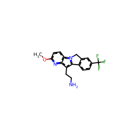 COc1ccc2c(n1)c(CCN)c1n2Cc2cc(C(F)(F)F)ccc2-1